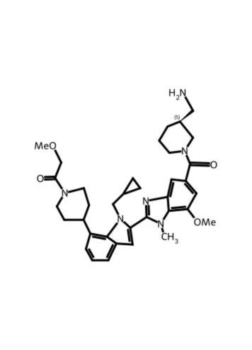 COCC(=O)N1CCC(c2cccc3cc(-c4nc5cc(C(=O)N6CCC[C@@H](CN)C6)cc(OC)c5n4C)n(CC4CC4)c23)CC1